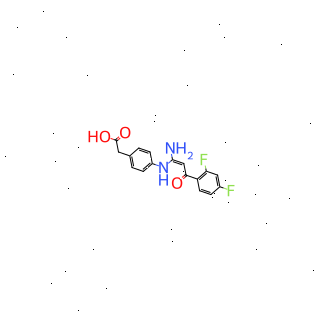 N/C(=C/C(=O)c1ccc(F)cc1F)Nc1ccc(CC(=O)O)cc1